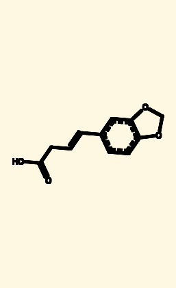 O=C(O)C/C=C/c1ccc2c(c1)OCO2